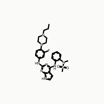 CCCN1CCN(c2ccc(Nc3nc(Nc4ccccc4N(C)S(C)(=O)=O)c4cc[nH]c4n3)cc2F)CC1